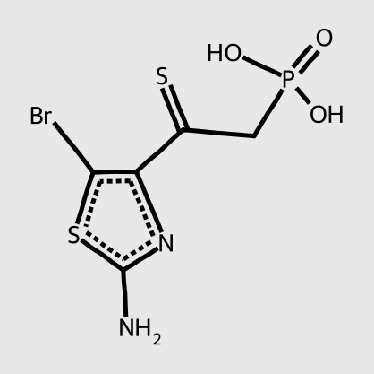 Nc1nc(C(=S)CP(=O)(O)O)c(Br)s1